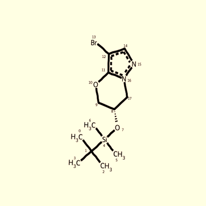 CC(C)(C)[Si](C)(C)O[C@@H]1COc2c(Br)cnn2C1